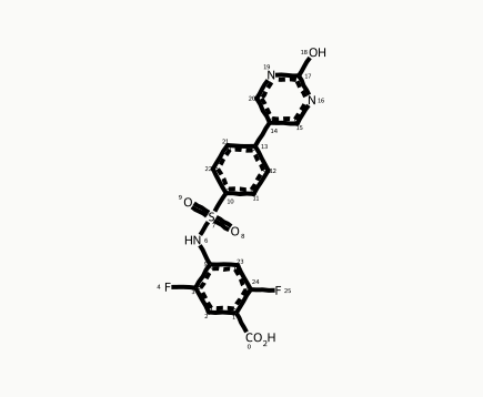 O=C(O)c1cc(F)c(NS(=O)(=O)c2ccc(-c3cnc(O)nc3)cc2)cc1F